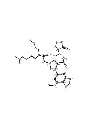 CCCCN(CCCCN(C)C)C(=O)CN1C[C@H](c2cc(OC)c3c(c2)OCO3)[C@H](C(=O)O)[C@H]1CCN1CCCC1=O